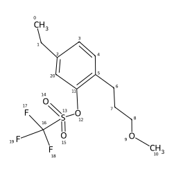 CCc1ccc(CCCOC)c(OS(=O)(=O)C(F)(F)F)c1